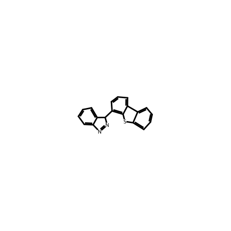 c1ccc2c(c1)N=NC2c1cccc2c1sc1ccccc12